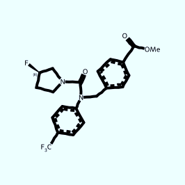 COC(=O)c1ccc(CN(C(=O)N2CC[C@@H](F)C2)c2ccc(C(F)(F)F)cc2)cc1